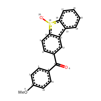 COc1ccc(C(=O)c2ccc3c(c2)c2ccccc2[s+]3[O-])cc1